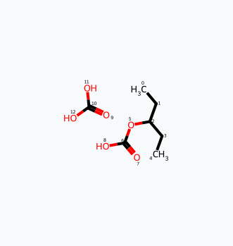 CCC(CC)OC(=O)O.O=C(O)O